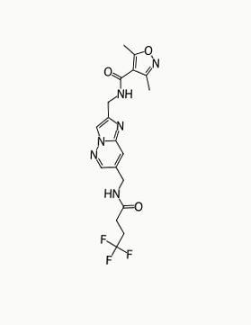 Cc1noc(C)c1C(=O)NCc1cn2ncc(CNC(=O)CCC(F)(F)F)cc2n1